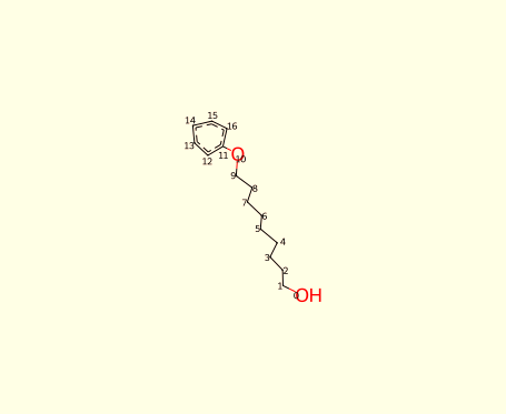 OCCCCCCCCCOc1ccccc1